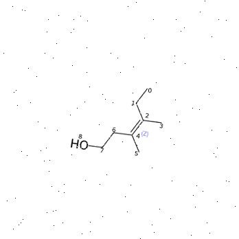 CC/C(C)=C(/C)CCO